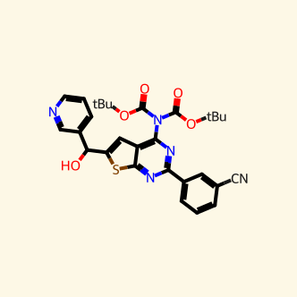 CC(C)(C)OC(=O)N(C(=O)OC(C)(C)C)c1nc(-c2cccc(C#N)c2)nc2sc(C(O)c3cccnc3)cc12